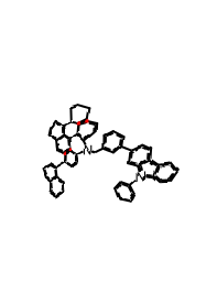 c1ccc(-n2c3ccccc3c3ccc(-c4cccc(CN(c5ccc(-c6cccc7ccccc67)cc5)c5ccccc5-c5cccc6cccc(C7CCCCC7)c56)c4)cc32)cc1